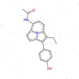 CCc1c(-c2ccc(O)cc2)c2ccc3c(NC(C)=O)ccc1n32